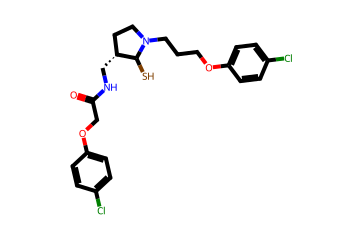 O=C(COc1ccc(Cl)cc1)NC[C@@H]1CCN(CCCOc2ccc(Cl)cc2)C1S